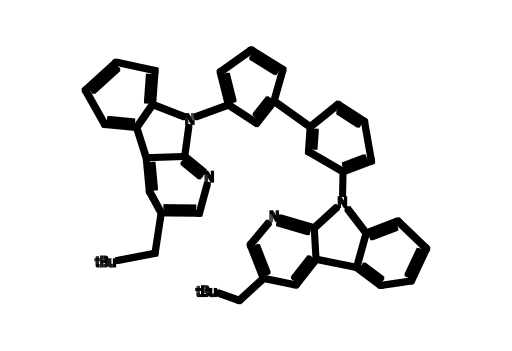 CC(C)(C)Cc1cnc2c(c1)c1ccccc1n2-c1cccc(-c2cccc(-n3c4ccccc4c4cc(CC(C)(C)C)cnc43)c2)c1